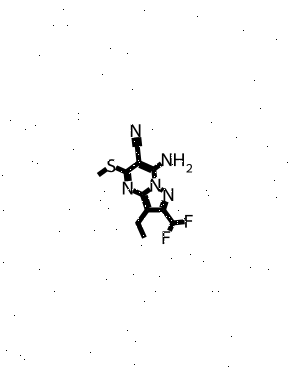 CCc1c(C(F)F)nn2c(N)c(C#N)c(SC)nc12